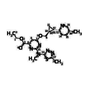 CCOC(=O)c1cc(OC[C@H]2C[C@@H]2c2ccc(C)cn2)nc(N(C)c2nnc(C)s2)n1